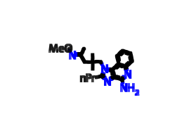 CCCc1nc2c(N)nc3ccccc3c2n1CC(C)(C)C/C(C)=N/OC